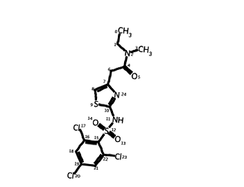 CCN(C)C(=O)Cc1csc(NS(=O)(=O)c2c(Cl)cc(Cl)cc2Cl)n1